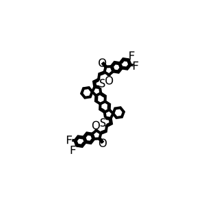 O=C1C(=Cc2cc3c(s2)C2=CC4C=C5C(=CC4C=C2C32CCCCC2)c2sc(C=C3C(=O)c4cc6cc(F)c(F)cc6cc4C3=O)cc2C52CCCCC2)C(=O)c2cc3cc(F)c(F)cc3cc21